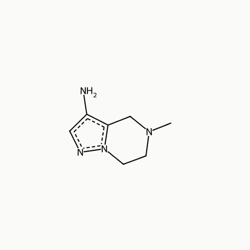 CN1CCn2ncc(N)c2C1